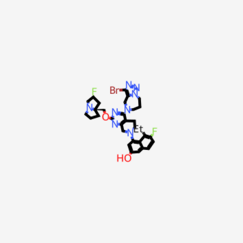 CCc1c(F)ccc2cc(O)cc(N3CCc4c(nc(OC[C@@]56CCCN5C[C@H](F)C6)nc4N4CCCn5nnc(Br)c5C4)C3)c12